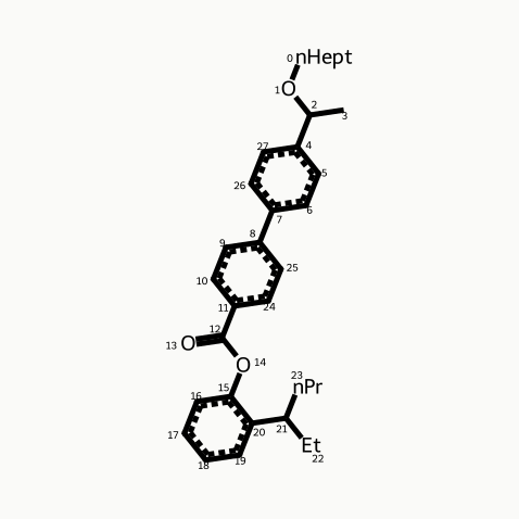 CCCCCCCOC(C)c1ccc(-c2ccc(C(=O)Oc3ccccc3C(CC)CCC)cc2)cc1